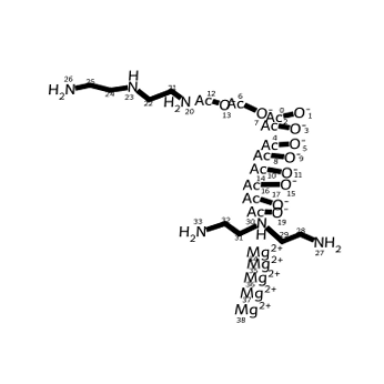 CC(=O)[O-].CC(=O)[O-].CC(=O)[O-].CC(=O)[O-].CC(=O)[O-].CC(=O)[O-].CC(=O)[O-].CC(=O)[O-].CC(=O)[O-].CC(=O)[O-].NCCNCCN.NCCNCCN.[Mg+2].[Mg+2].[Mg+2].[Mg+2].[Mg+2]